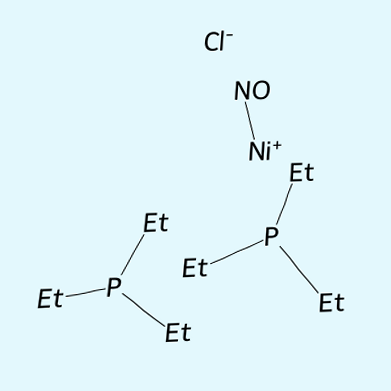 CCP(CC)CC.CCP(CC)CC.O=[N][Ni+].[Cl-]